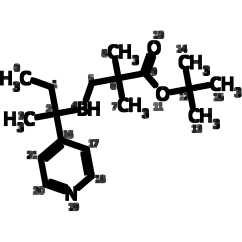 CCC(C)(BCC(C)(C)C(=O)OC(C)(C)C)c1ccncc1